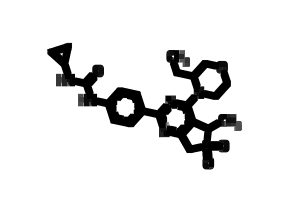 CCC1COCCN1c1nc(-c2ccc(NC(=O)NC3CC3)cc2)nc2c1C(C)S(=O)(=O)C2